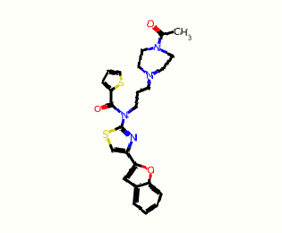 CC(=O)N1CCN(CCCN(C(=O)c2cccs2)c2nc(-c3cc4ccccc4o3)cs2)CC1